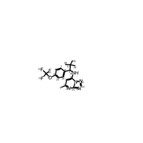 Cc1cc(NC(c2ccc(OC(F)(F)F)cc2)C(C)(C)C)n2ncnc2n1